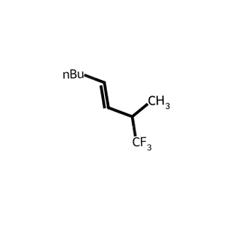 CCCC/C=C/C(C)C(F)(F)F